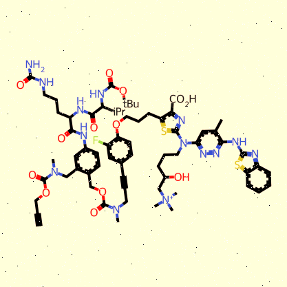 C#CCOC(=O)N(C)Cc1cc(NC(=O)C(CCCNC(N)=O)NC(=O)C(NC(=O)OC(C)(C)C)C(C)C)ccc1COC(=O)N(C)CC#Cc1ccc(OCCCc2sc(N(CCCC(O)C[N+](C)(C)C)c3cc(C)c(Nc4nc5ccccc5s4)nn3)nc2C(=O)O)c(F)c1